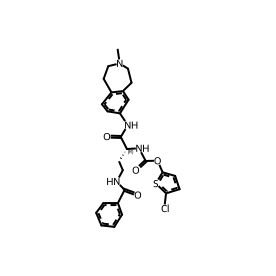 CN1CCc2ccc(NC(=O)[C@@H](CCNC(=O)c3ccccc3)NC(=O)Oc3ccc(Cl)s3)cc2CC1